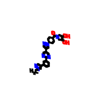 Cn1cc(-c2cccc(-c3ncc(-c4cnn([C@H]5CC[C@H](C(=O)N6C[C@H](O)[C@@H](O)C6)CC5)c4)cn3)c2)cn1